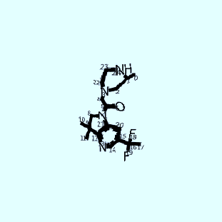 CC1CN(CC(=O)N2CC(C)(C)c3ncc(C(C)(F)F)cc32)CCN1